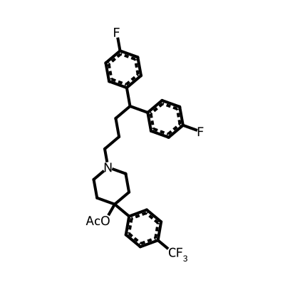 CC(=O)OC1(c2ccc(C(F)(F)F)cc2)CCN(CCCC(c2ccc(F)cc2)c2ccc(F)cc2)CC1